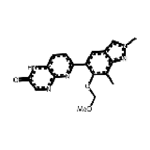 COCOc1c(-c2ccc3[nH]c(=O)cnc3n2)cc2cn(C)nc2c1C